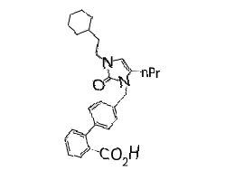 CCCc1cn(CCC2CCCCC2)c(=O)n1Cc1ccc(-c2ccccc2C(=O)O)cc1